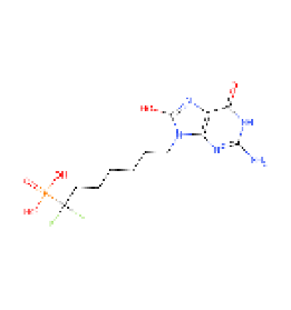 Nc1nc2c(nc(O)n2CCCCCCC(F)(F)P(=O)(O)O)c(=O)[nH]1